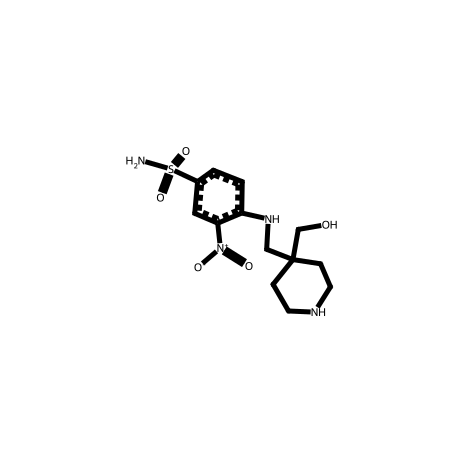 NS(=O)(=O)c1ccc(NCC2(CO)CCNCC2)c([N+](=O)[O-])c1